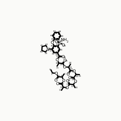 CCOC(=O)C(C)OC(=O)C(C)OC(=O)C(C)OC(=O)C(C)OC(=O)C(C)OC(=O)C(C)OC(=O)c1cc(N2CCCC2)c(Oc2ccccc2)c(S(N)(=O)=O)c1